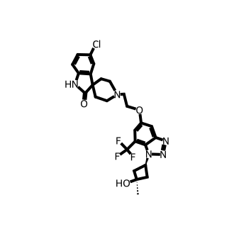 C[C@]1(O)C[C@@H](n2nnc3cc(OCCN4CCC5(CC4)C(=O)Nc4ccc(Cl)cc45)cc(C(F)(F)F)c32)C1